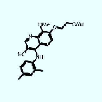 COCCOc1ccc2c(Nc3ccc(C)cc3C)c(C#N)cnc2c1OC